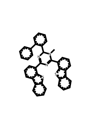 CN1C(c2cccc3c2sc2ccccc23)=NC(c2cccc3c2sc2ccccc23)=NC1c1ccccc1-c1ccccc1